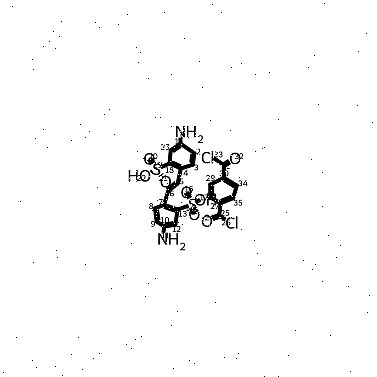 Nc1ccc(C=Cc2ccc(N)cc2S(=O)(=O)O)c(S(=O)(=O)O)c1.O=C(Cl)c1ccc(C(=O)Cl)cc1